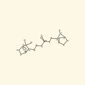 CC1C2CCC(C2)C1CCC(=O)CCCC1C2CCC(C2)C1(C)C